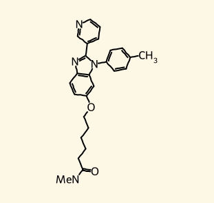 CNC(=O)CCCCCOc1ccc2nc(-c3cccnc3)n(-c3ccc(C)cc3)c2c1